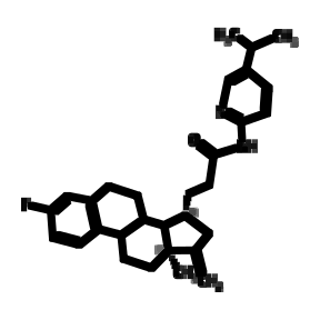 C=C1C[C@@H](CCC(=O)Nc2ccc(C(C)C)cn2)C2C3CCc4cc(F)ccc4C3CC[C@]12C